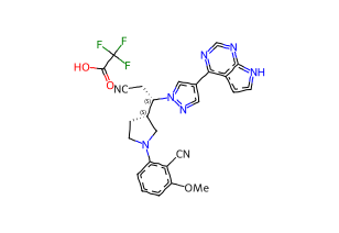 COc1cccc(N2CC[C@H]([C@H](CC#N)n3cc(-c4ncnc5[nH]ccc45)cn3)C2)c1C#N.O=C(O)C(F)(F)F